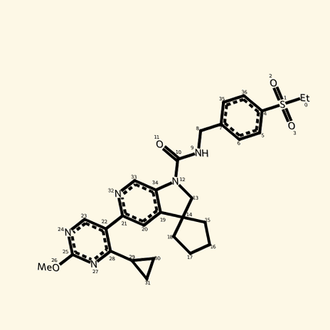 CCS(=O)(=O)c1ccc(CNC(=O)N2CC3(CCCC3)c3cc(-c4cnc(OC)nc4C4CC4)ncc32)cc1